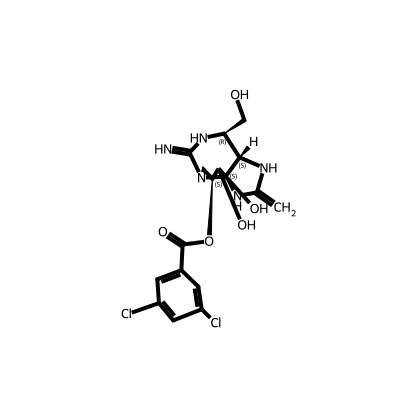 C=C1N[C@H]2[C@H](CO)NC(=N)N3C[C@H](OC(=O)c4cc(Cl)cc(Cl)c4)C(O)(O)[C@]23N1